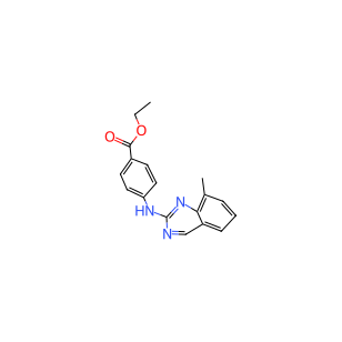 CCOC(=O)c1ccc(Nc2ncc3cccc(C)c3n2)cc1